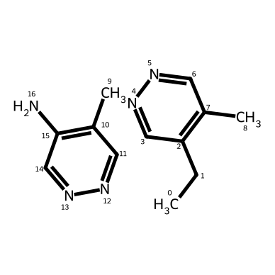 CCc1cnncc1C.Cc1cnncc1N